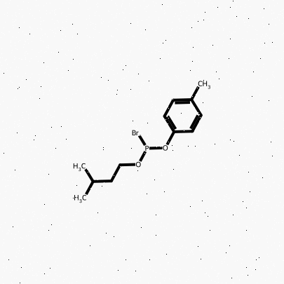 Cc1ccc(OP(Br)OCCC(C)C)cc1